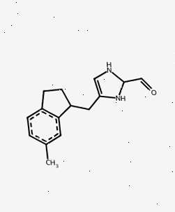 Cc1ccc2c(c1)C(CC1=CNC(C=O)N1)CC2